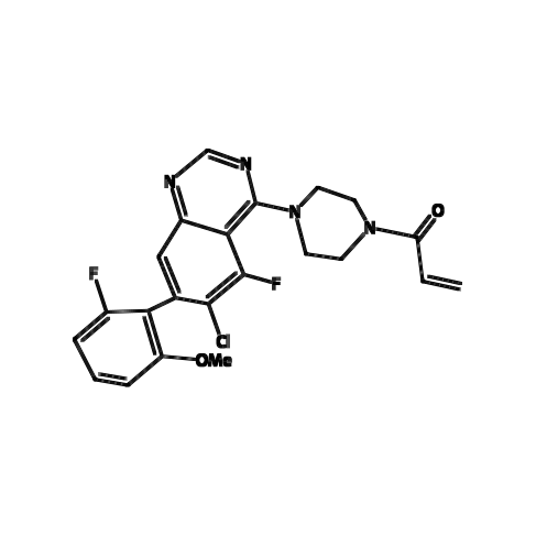 C=CC(=O)N1CCN(c2ncnc3cc(-c4c(F)cccc4OC)c(Cl)c(F)c23)CC1